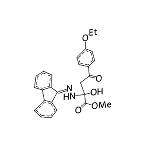 CCOc1ccc(C(=O)CC(O)(NN=C2c3ccccc3-c3ccccc32)C(=O)OC)cc1